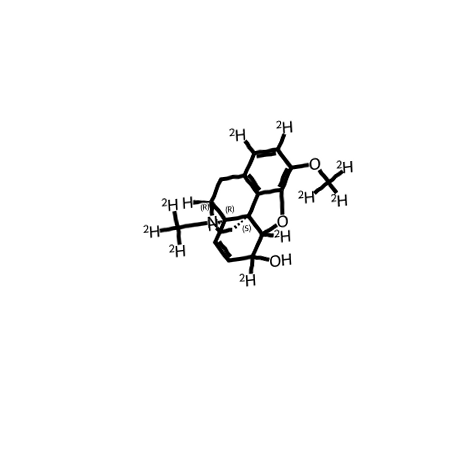 [2H]c1c([2H])c(OC([2H])([2H])[2H])c2c3c1C[C@@H]1[C@@H]4C=CC([2H])(O)C([2H])(O2)[C@]34CCN1C([2H])([2H])[2H]